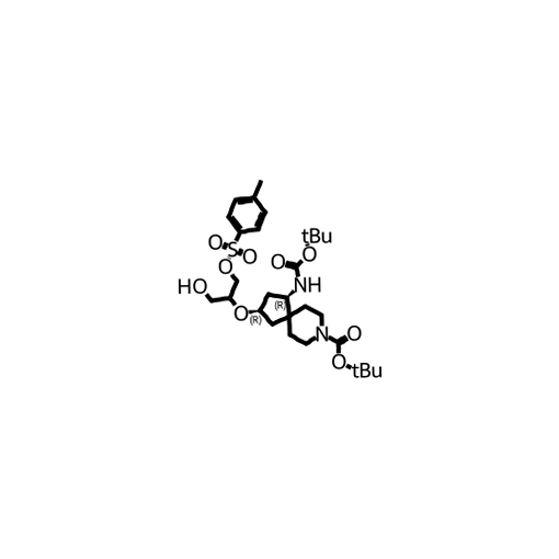 Cc1ccc(S(=O)(=O)OCC(CO)O[C@H]2C[C@@H](NC(=O)OC(C)(C)C)C3(CCN(C(=O)OC(C)(C)C)CC3)C2)cc1